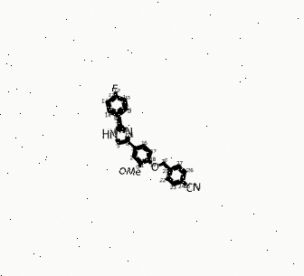 COc1cc(-c2c[nH]c(-c3ccc(F)cc3)n2)ccc1OCc1ccc(C#N)cc1